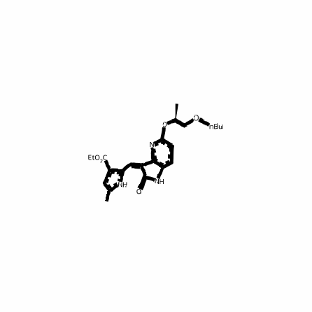 CCCCOC[C@H](C)Oc1ccc2c(n1)/C(=C/c1[nH]c(C)cc1C(=O)OCC)C(=O)N2